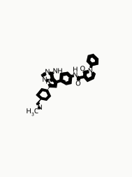 C/N=C/[C@H]1CC[C@H](c2cc(-c3ccc(NC(=O)c4cccn(-c5ccccc5)c4=O)cc3)c3c(N)ncnn32)CC1